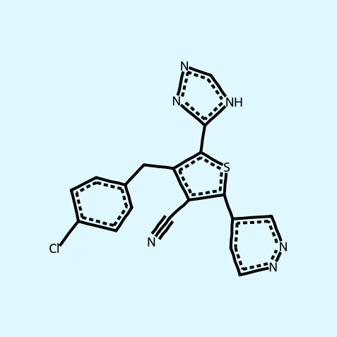 N#Cc1c(-c2ccnnc2)sc(-c2nnc[nH]2)c1Cc1ccc(Cl)cc1